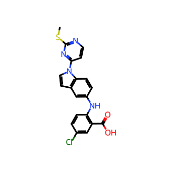 CSc1nccc(-n2ccc3cc(Nc4ccc(Cl)cc4C(=O)O)ccc32)n1